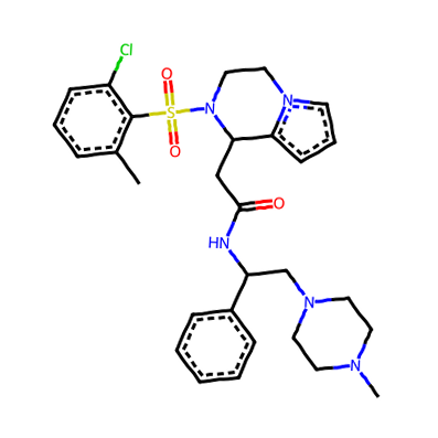 Cc1cccc(Cl)c1S(=O)(=O)N1CCn2cccc2C1CC(=O)NC(CN1CCN(C)CC1)c1ccccc1